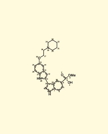 COP(=O)(O)c1ccc2[nH]nc(-c3cc4cc(OCCN5CCCCC5)ccc4[nH]3)c2c1